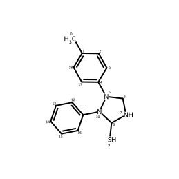 Cc1ccc(N2CNC(S)N2c2ccccc2)cc1